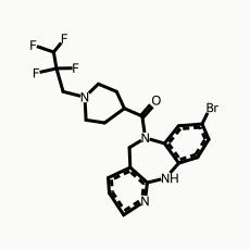 O=C(C1CCN(CC(F)(F)C(F)F)CC1)N1Cc2cccnc2Nc2ccc(Br)cc21